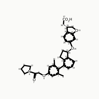 Cc1cc(OCC(=O)N2CCCC2)cc(C)c1-c1cccc2c1CC[C@H]2Oc1ccc2c(c1)OC[C@H]2CC(=O)O